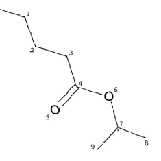 CCCCC(=O)O[C](C)C